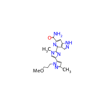 COCCCn1nc(C)cc1-c1cn(C)c(-c2nc(C(N)=O)cc3[nH]ncc23)n1